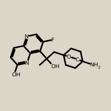 CC(O)(CC12CCC(N)(CC1)CO2)c1c(F)cnc2ccc(O)nc12